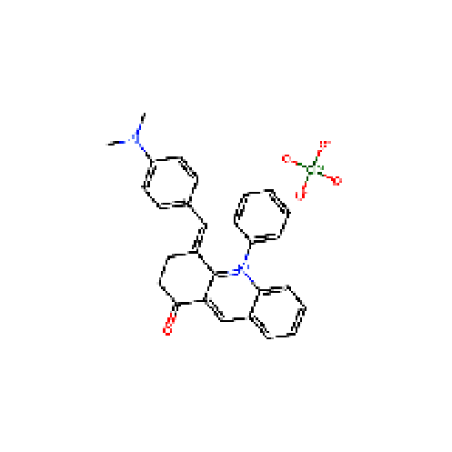 CN(C)c1ccc(/C=C2\CCC(=O)c3cc4ccccc4[n+](-c4ccccc4)c32)cc1.[O-][Cl+3]([O-])([O-])[O-]